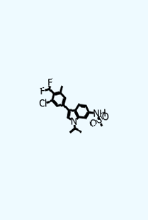 Cc1cc(-c2cn(C(C)C)c3cc(NS(C)(=O)=O)ccc23)cc(Cl)c1C(F)F